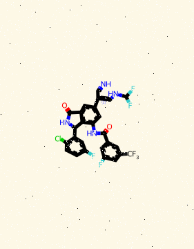 N=C/C(=C\NC(F)F)c1cc(NC(=O)c2cc(F)cc(C(F)(F)F)c2)c2c(c1)C(=O)NC2c1cc(F)ccc1Cl